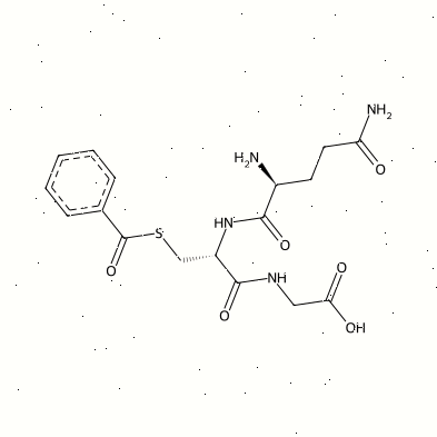 NC(=O)CC[C@H](N)C(=O)N[C@@H](CSC(=O)c1ccccc1)C(=O)NCC(=O)O